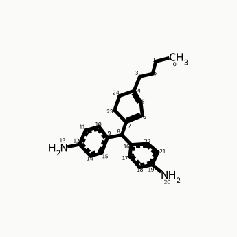 CCCCC1=CC=C(C(c2ccc(N)cc2)c2ccc(N)cc2)CC1